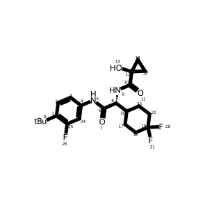 CC(C)(C)c1ccc(NC(=O)[C@H](NC(=O)C2(O)CC2)C2CCC(F)(F)CC2)cc1F